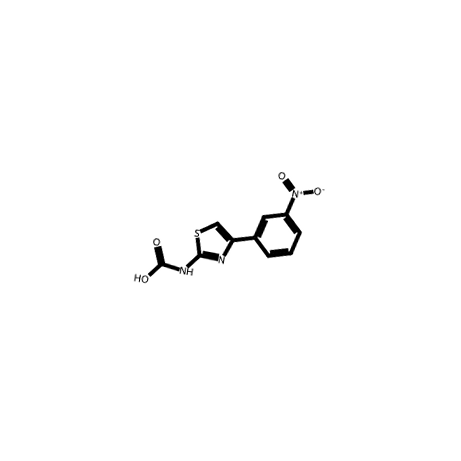 O=C(O)Nc1nc(-c2cccc([N+](=O)[O-])c2)cs1